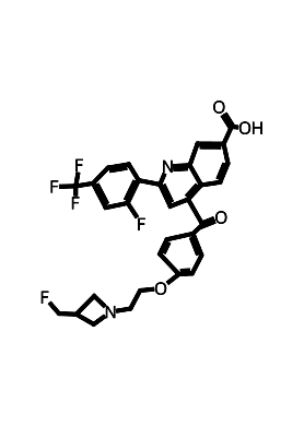 O=C(O)c1ccc2c(C(=O)c3ccc(OCCN4CC(CF)C4)cc3)cc(-c3ccc(C(F)(F)F)cc3F)nc2c1